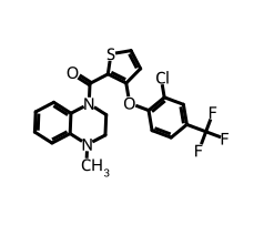 CN1CCN(C(=O)c2sccc2Oc2ccc(C(F)(F)F)cc2Cl)c2ccccc21